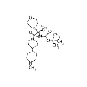 CN1CCC(N2CCN(C(=O)[C@@](C)(NC(=O)OC(C)(C)C)N3CCOCC3)CC2)CC1